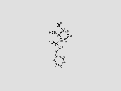 O=C(OCc1ccccc1)c1cccc(Br)c1O